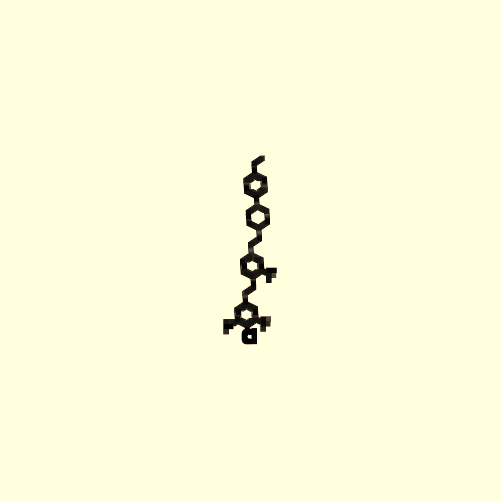 CCc1ccc(C2CCC(CCc3ccc(CCc4cc(F)c(Cl)c(F)c4)c(F)c3)CC2)cc1